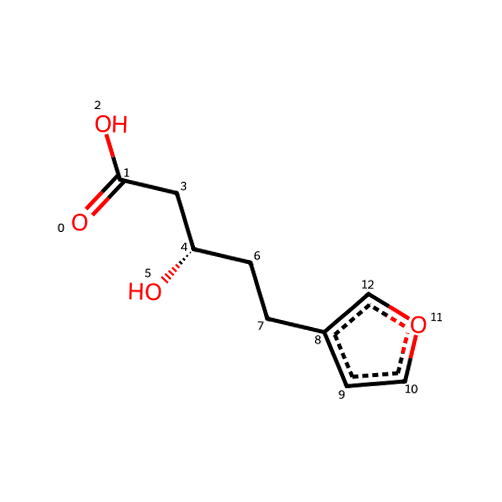 O=C(O)C[C@@H](O)CCc1ccoc1